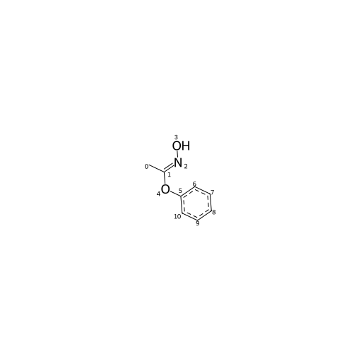 CC(=NO)Oc1ccccc1